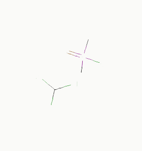 CP(C)(=S)Cl.ClC(Cl)Cl